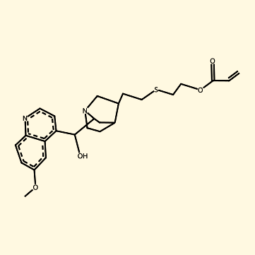 C=CC(=O)OCCSCCC1CN2CCC1CC2C(O)c1ccnc2ccc(OC)cc12